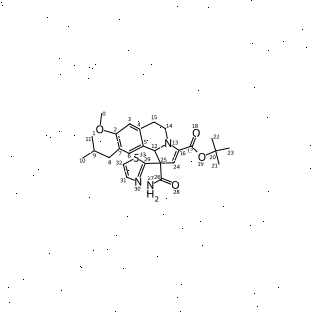 COc1cc2c(cc1CC(C)C)C1N(CC2)C(C(=O)OC(C)(C)C)=CC1(C(N)=O)c1nccs1